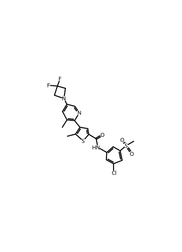 Cc1cc(N2CC(F)(F)C2)cnc1-c1cc(C(=O)Nc2cc(Cl)cc(S(C)(=O)=O)c2)sc1C